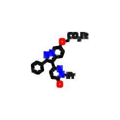 CCOC(=O)COc1ccc2c(-c3ccc(=O)n(C(C)C)n3)c(-c3ccccc3)nn2c1